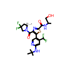 CC(CO)NC(=O)c1nc(C(=O)N2CC(F)(F)C[C@@H]2C)c(-c2cnc(NC(C)(C)C)cc2C(F)F)s1